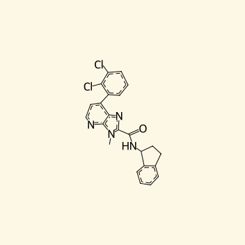 Cn1c(C(=O)NC2CCc3ccccc32)nc2c(-c3cccc(Cl)c3Cl)ccnc21